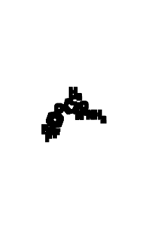 CC[C@@H](C[C@H]1COC(N)=N1)Oc1ccc(C(F)(F)F)cc1